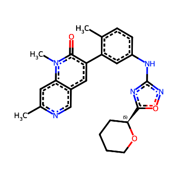 Cc1cc2c(cn1)cc(-c1cc(Nc3noc([C@@H]4CCCCO4)n3)ccc1C)c(=O)n2C